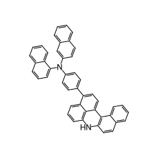 c1ccc2cc(N(c3ccc(-c4ccc5c6c(cccc46)Nc4ccc6ccccc6c4-5)cc3)c3cccc4ccccc34)ccc2c1